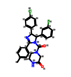 Cc1ccc(C2=NC(c3ccc(Cl)cc3)C(c3cccc(F)c3)N2C(=O)N2CCNC(=O)C2)cc1